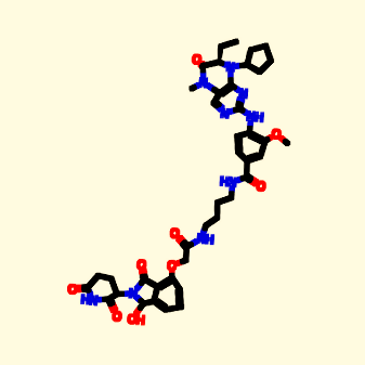 CC[C@@H]1C(=O)N(C)c2cnc(Nc3ccc(C(=O)NCCCCNC(=O)COc4cccc5c4C(=O)N(C4CCC(=O)NC4=O)C5O)cc3OC)nc2N1C1CCCC1